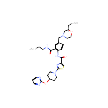 COCCNC(=O)c1cc(CN2CCO[C@H](COC)C2)ccc1NC(=O)c1csc(N2CCC(Oc3ncccn3)CC2)n1